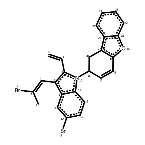 C=Cc1c(/C=C(\C)Br)c2cc(Br)ccc2n1C1C=Cc2oc3ccccc3c2C1